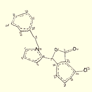 O=C1OC(c2cccn2Cc2ccccc2)c2cccc(Cl)c21